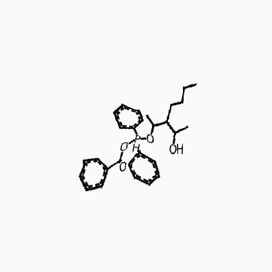 CCCCC(C(C)O)C(C)O[PH](OC(=O)c1ccccc1)(c1ccccc1)c1ccccc1